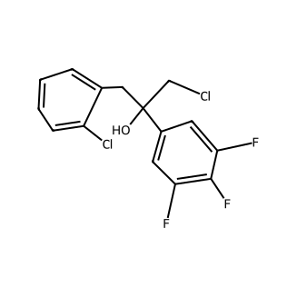 OC(CCl)(Cc1ccccc1Cl)c1cc(F)c(F)c(F)c1